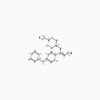 CN1CCN(C/C(=N\O)c2ccc(Sc3ccccc3)cc2)CC1